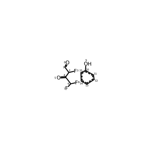 O=CC(F)C(=O)C(F)F.Oc1ccccc1